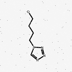 [O]CCCCn1cnnn1